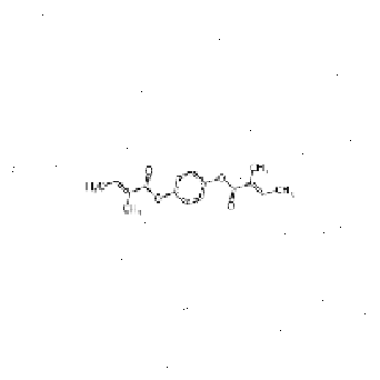 C/C=C(\C)C(=O)Oc1ccc(OC(=O)/C(C)=C/C)cc1